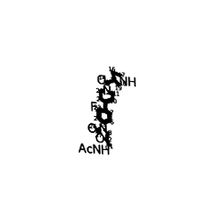 CC(=O)NCC1CN(c2ccc(C3=CCN(C(=O)C4CCNC4)CC3)c(F)c2)C(=O)O1